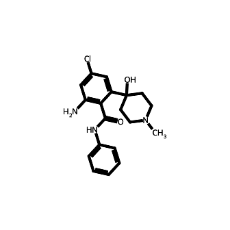 CN1CCC(O)(c2cc(Cl)cc(N)c2C(=O)Nc2ccccc2)CC1